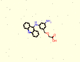 Nc1cc(COCC(=O)O)cc(Nc2c3ccccc3nc3ccccc23)c1